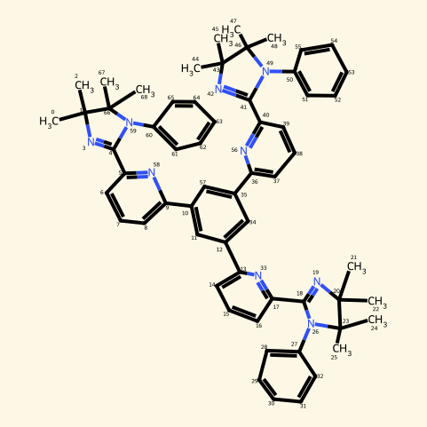 CC1(C)N=C(c2cccc(-c3cc(-c4cccc(C5=NC(C)(C)C(C)(C)N5c5ccccc5)n4)cc(-c4cccc(C5=NC(C)(C)C(C)(C)N5c5ccccc5)n4)c3)n2)N(c2ccccc2)C1(C)C